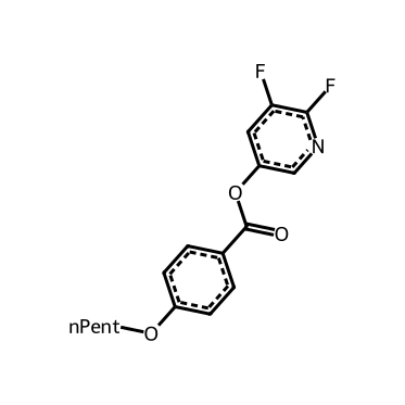 CCCCCOc1ccc(C(=O)Oc2cnc(F)c(F)c2)cc1